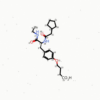 CC(C)CNC(=O)[C@H](Cc1ccc(OCCCC(=O)O)cc1)NC(=O)CC1CCCC1